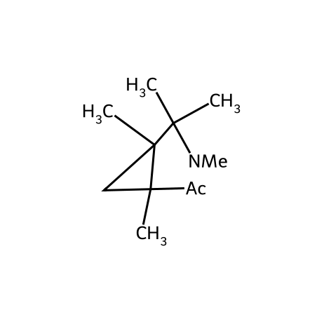 CNC(C)(C)C1(C)CC1(C)C(C)=O